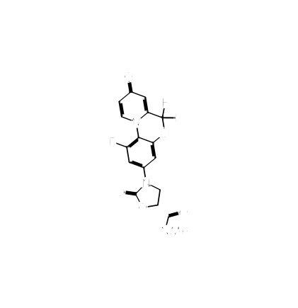 CNC(=O)[C@H]1CN(c2cc(F)c3c(c2)OC(F)(F)c2cc(=O)ccn2-3)C(=O)O1